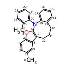 Cc1ccc2oc3c(c2c1)CCCc1ccccc1N3c1ccccc1C